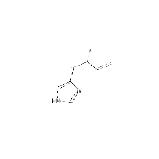 C=CC(C)[CH]c1c[nH]cn1